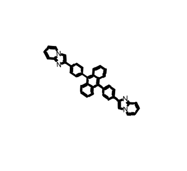 C1=C(c2cn3ccccc3n2)CCC(c2c3ccccc3c(-c3ccc(-c4cn5ccccc5n4)cc3)c3ccccc23)=C1